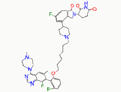 Cc1cc2c(N3CCN(C)CC3)ncnc2c(F)c1-c1c(F)cccc1OCCCCCCCN1CCC(c2cc(F)cc3c2CN(C2CCC(=O)NC2=O)C3=O)CC1